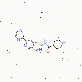 CN1CCC(C(=O)Nc2cc3cc(-c4cnccn4)ncc3cn2)CC1